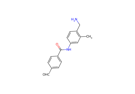 Cc1cc(NC(=O)c2ccc(C=O)cc2)ccc1CN